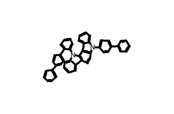 c1ccc(-c2ccc(-c3ccccc3-n3c4ccccc4c4ccc5c(c6ccccc6n5-c5ccc(-c6ccccc6)cc5)c43)cc2)cc1